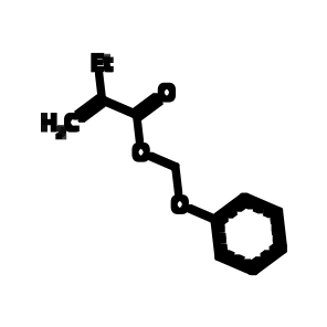 C=C(CC)C(=O)OCOc1ccccc1